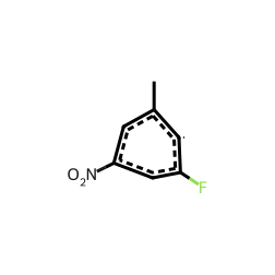 Cc1[c]c(F)cc([N+](=O)[O-])c1